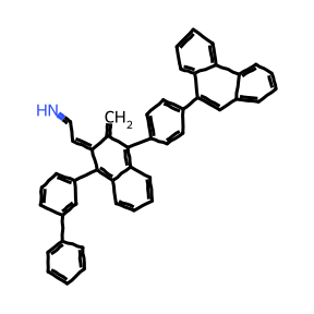 C=c1c(-c2ccc(-c3cc4ccccc4c4ccccc34)cc2)c2ccccc2c(-c2cccc(-c3ccccc3)c2)/c1=C/C=N